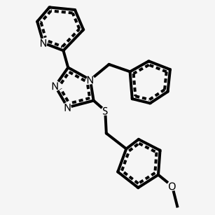 COc1ccc(CSc2nnc(-c3ccccn3)n2Cc2ccccc2)cc1